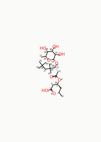 CCC[C@@H](CC(=O)O)OC(=O)C[C@@H](OC1OC(C)C(O)C(O)C1O)C(C)(C)CC(C)(C)C